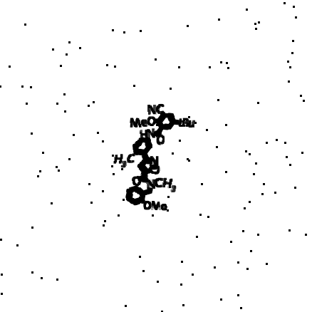 COc1ccccc1CN(C)C(=O)c1cc(-c2cc(NC(=O)c3cc(C(C)(C)C)cc(C#N)c3OC)ccc2C)no1